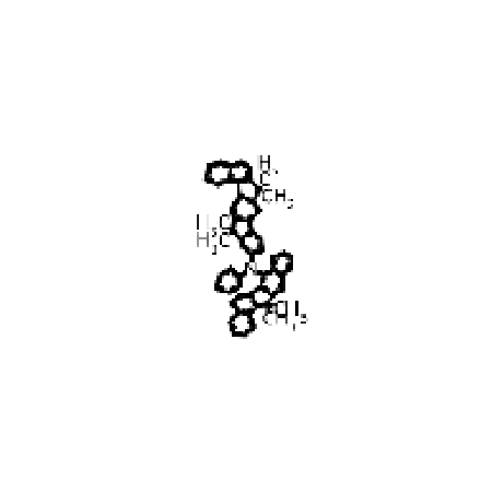 CC1(C)c2cc(N(c3ccccc3)c3c4c(cc5ccccc35)C(C)(C)c3c-4ccc4ccccc34)ccc2-c2cc3c(cc21)-c1c(ccc2ccccc12)C3(C)C